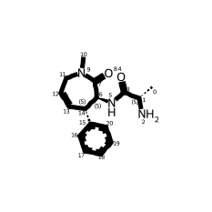 C[C@H](N)C(=O)N[C@@H]1C(=O)N(C)CC=C[C@H]1c1ccccc1